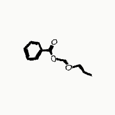 CCCOCOC(=O)c1ccccc1